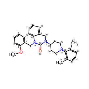 COc1ccccc1CN1C(=O)N(C2CCN(c3c(C)cccc3C)CC2)Cc2ccccc21